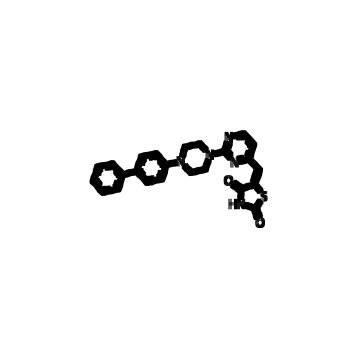 O=C1NC(=O)/C(=C\c2ccnc(N3CCN(c4ccc(-c5ccccc5)cc4)CC3)n2)S1